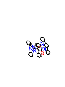 Cc1cc(-n2c3ccccc3c3ccc4c5ccccc5n(-c5ccccc5)c4c32)c2oc3ccccc3c2c1-c1nc(-c2ccccc2)nc(-c2ccccc2)n1